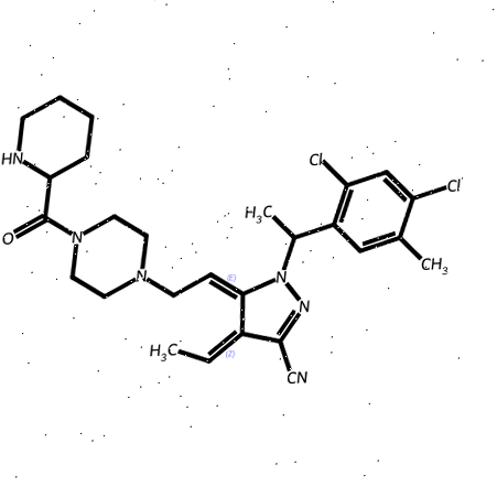 C/C=c1/c(C#N)nn(C(C)c2cc(C)c(Cl)cc2Cl)/c1=C/CN1CCN(C(=O)C2CCCCN2)CC1